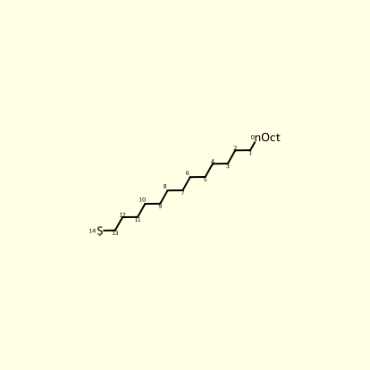 CCCCCCCCCCCCCCCCCCCCC[S]